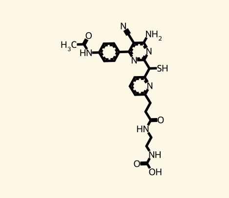 CC(=O)Nc1ccc(-c2nc(C(S)c3cccc(CCC(=O)NCCNC(=O)O)n3)nc(N)c2C#N)cc1